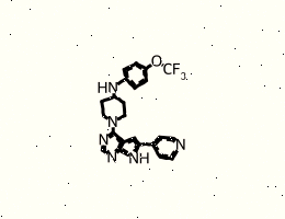 FC(F)(F)Oc1ccc(NC2CCN(c3ncnc4[nH]c(-c5ccncc5)cc34)CC2)cc1